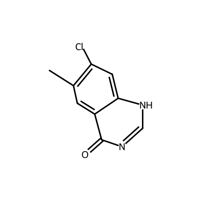 Cc1cc2c(=O)nc[nH]c2cc1Cl